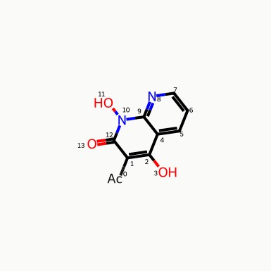 CC(=O)c1c(O)c2cccnc2n(O)c1=O